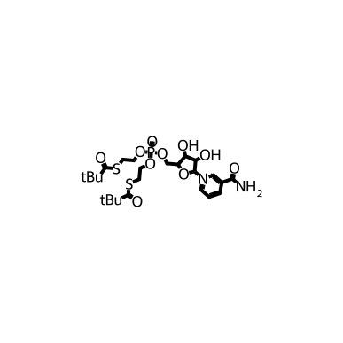 CC(C)(C)C(=O)SCCOP(=O)(OCCSC(=O)C(C)(C)C)OCC1OC([n+]2cccc(C(N)=O)c2)C(O)C1O